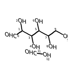 O=CC(O)C(O)C(O)C(O)CO.O=CO